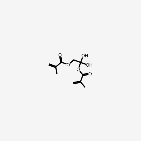 C=C(C)C(=O)OCC(O)(O)OC(=O)C(=C)C